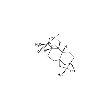 C[C@@]1(O)C[C@@]23CC[C@H]4[C@@]5(CCC[C@]4(C)C(=O)OC5)[C@@H]2CC[C@H]1C3